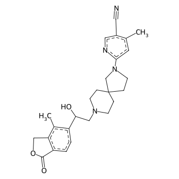 Cc1cc(N2CCC3(CCN(CC(O)c4ccc5c(c4C)COC5=O)CC3)C2)ncc1C#N